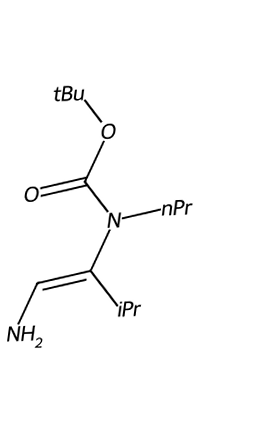 CCCN(C(=O)OC(C)(C)C)/C(=C/N)C(C)C